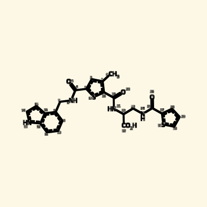 Cc1cc(C(=O)NCc2cccc3[nH]ccc23)sc1C(=O)NC(CNC(=O)c1cccs1)C(=O)O